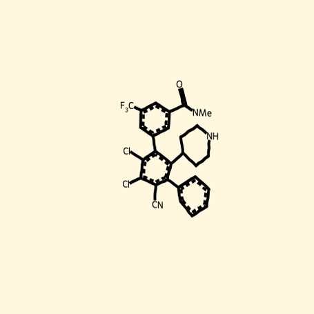 CNC(=O)c1cc(-c2c(Cl)c(Cl)c(C#N)c(-c3ccccc3)c2C2CCNCC2)cc(C(F)(F)F)c1